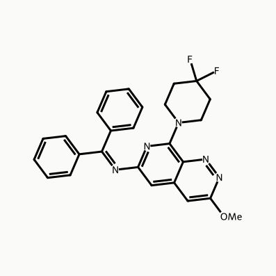 COc1cc2cc(N=C(c3ccccc3)c3ccccc3)nc(N3CCC(F)(F)CC3)c2nn1